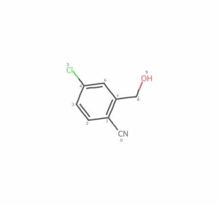 N#Cc1ccc(Cl)cc1[CH]O